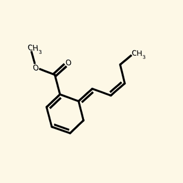 CC/C=C\C=C1/CC=CC=C1C(=O)OC